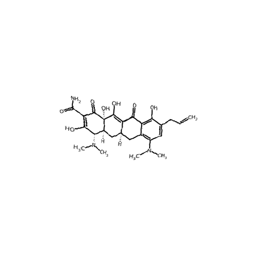 C=CCc1cc(N(C)C)c2c(c1O)C(=O)C1=C(O)[C@]3(O)C(=O)C(C(N)=O)=C(O)[C@@H](N(C)C)[C@@H]3C[C@@H]1C2